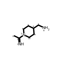 CC(=N)N1CCC(CN)CC1